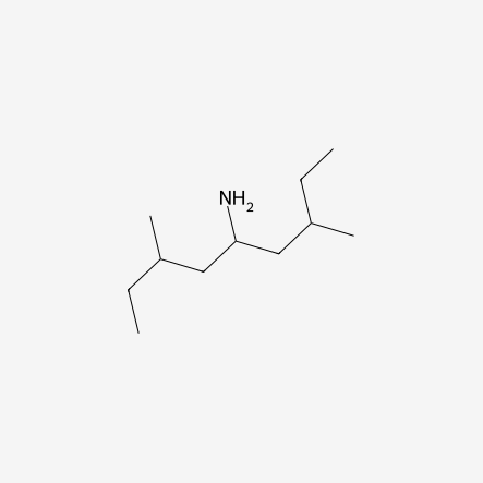 CCC(C)CC(N)CC(C)CC